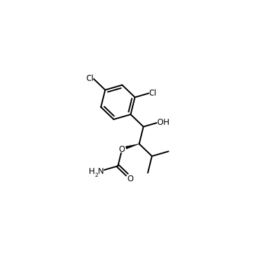 CC(C)[C@@H](OC(N)=O)C(O)c1ccc(Cl)cc1Cl